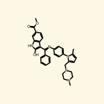 COC(=O)c1ccc2c(C(=Nc3ccc(-n4c(C)ccc4CN4CCN(C)CC4)cc3)c3ccccc3)c(O)[nH]c2c1